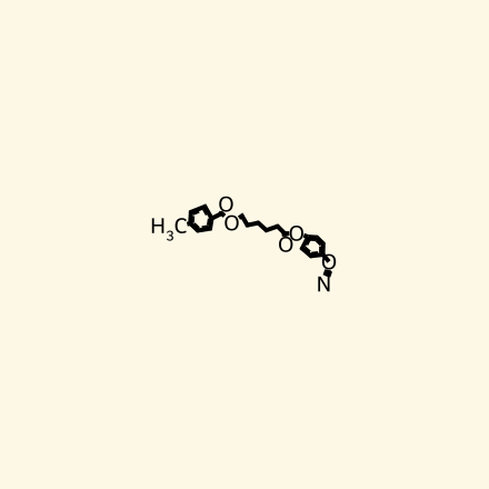 Cc1ccc(C(=O)OCCCCCC(=O)Oc2ccc(OC#N)cc2)cc1